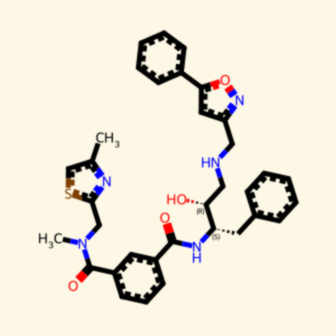 Cc1csc(CN(C)C(=O)c2cccc(C(=O)N[C@@H](Cc3ccccc3)[C@H](O)CNCc3cc(-c4ccccc4)on3)c2)n1